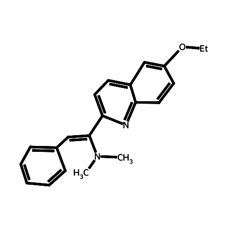 CCOc1ccc2nc(C(=Cc3ccccc3)N(C)C)ccc2c1